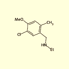 CCNCc1cc(Cl)c(OC)cc1C